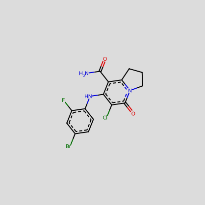 NC(=O)c1c(Nc2ccc(Br)cc2F)c(Cl)c(=O)n2c1CCC2